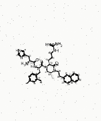 Cc1ccc(C[C@@H](NC(=O)[C@@H](N)Cc2c[nH]cn2)C(=O)N2C[C@@H](C)N(CCc3ccc4ccccc4c3)C(=O)[C@@H]2CCCNC(=N)N)c(C)c1